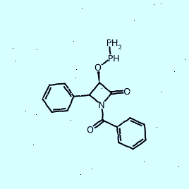 O=C(c1ccccc1)N1C(=O)[C@H](OPP)C1c1ccccc1